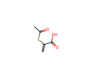 C=C(SC(C)=O)C(=O)O